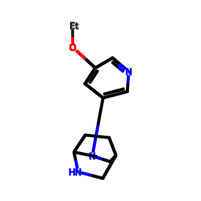 CCOc1cncc(N2CC3CCC(C2)NC3)c1